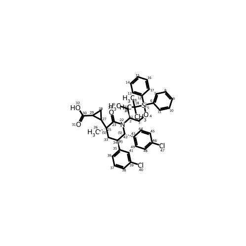 CC[C@@H](CO[Si](c1ccccc1)(c1ccccc1)C(C)(C)C)N1C(=O)[C@](C)(C2CC2C(=O)O)C[C@H](c2cccc(Cl)c2)[C@H]1c1ccc(Cl)cc1